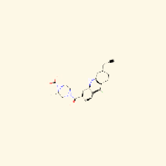 C#CCC1CCc2c(nc3cc(C(=O)N4CCN(C(=O)O)[C@H](C)C4)ccc3c2Cl)C1